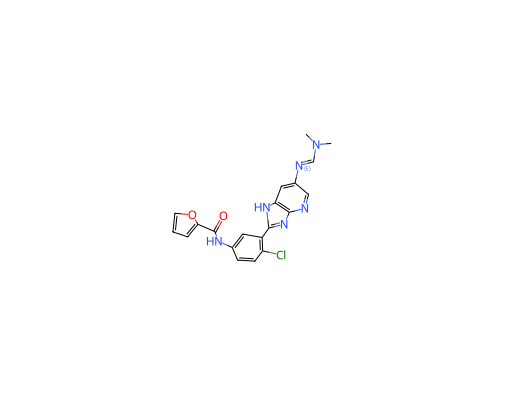 CN(C)/C=N/c1cnc2nc(-c3cc(NC(=O)c4ccco4)ccc3Cl)[nH]c2c1